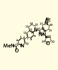 CNC(=O)c1ccc(-c2ccc3c(c2)CCCN3c2nn([C@H]3CCOC3)c3c2CN(C(C)=O)CC3)cn1